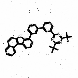 CC(C)(C)c1nc(-c2cccc(-c3cccc(-c4cccc5c4sc4ccc6ccccc6c45)c3)c2)nc(C(C)(C)C)n1